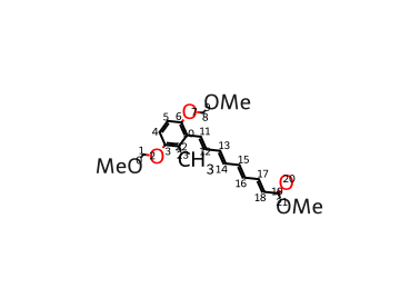 COCOc1ccc(OCOC)c(C=CC=CC=CC=CC(=O)OC)c1C